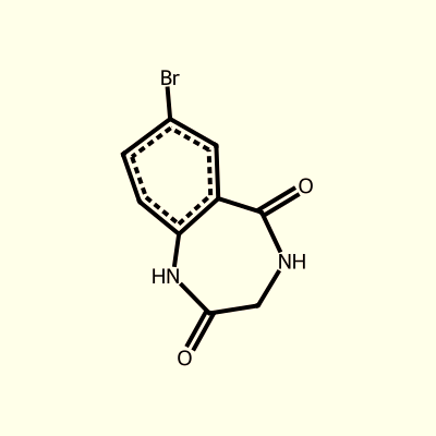 O=C1CNC(=O)c2cc(Br)ccc2N1